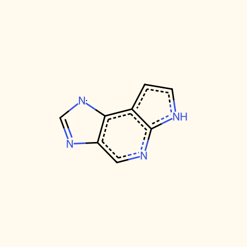 C1=Nc2cnc3[nH]ccc3c2[N]1